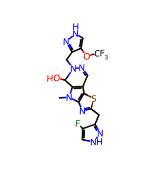 Cn1c2c(c3sc(Cc4n[nH]cc4F)nc31)C=NN(Cc1n[nH]cc1OC(F)(F)F)C2O